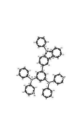 c1ccc(N(c2ccncc2)c2cc(-c3ccc4c(c3)c3ccccc3n4-c3ccccc3)cc(N(c3ccccc3)c3cccnc3)c2)cc1